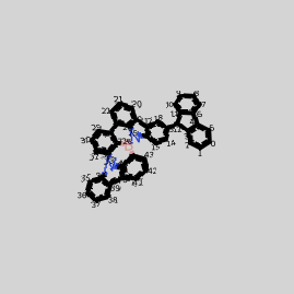 c1ccc2c(c1)-c1ccccc1C2c1ccc2c(c1)c1cccc3c1n2B1c2c-3cccc2-n2c3ccccc3c3cccc1c32